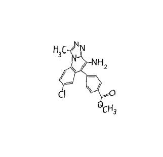 COC(=O)c1ccc(-c2c(N)c3nnc(C)n3c3ccc(Cl)cc23)cc1